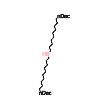 CCCCCCCCCCCCCCCCCCCCBCCCCCCCCCCCCCCCCCCCC